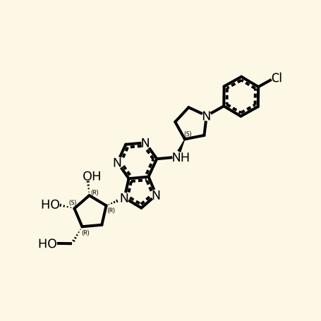 OC[C@H]1C[C@@H](n2cnc3c(N[C@H]4CCN(c5ccc(Cl)cc5)C4)ncnc32)[C@@H](O)[C@H]1O